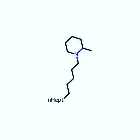 CCCCCCCCCCCCN1CCCCC1C